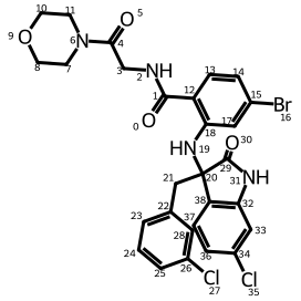 O=C(NCC(=O)N1CCOCC1)c1ccc(Br)cc1NC1(Cc2cccc(Cl)c2)C(=O)Nc2cc(Cl)ccc21